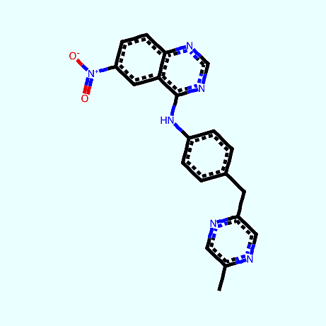 Cc1cnc(Cc2ccc(Nc3ncnc4ccc([N+](=O)[O-])cc34)cc2)cn1